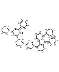 c1ccc(C2=NC(c3cccc(-c4ccc(-c5cccc6c5c5cccc(-c7ccccc7)c5n6-c5ccccc5)cc4)c3)NC(c3ccccc3)=N2)cc1